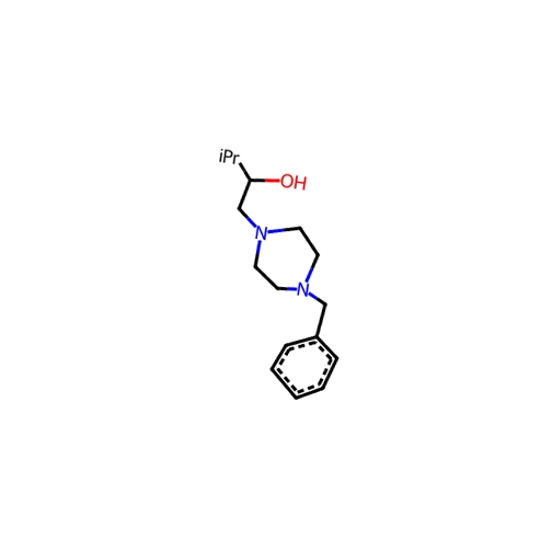 CC(C)C(O)CN1CCN(Cc2ccccc2)CC1